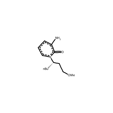 CCCC[C@@H](CCOC)n1cccc(N)c1=O